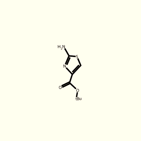 CC(C)(C)OC(=O)c1csc(N)n1